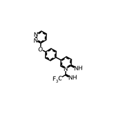 N=C(n1cc(-c2ccc(Oc3cccnn3)cc2)ccc1=N)C(F)(F)F